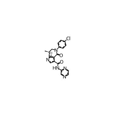 C[C@H]1CN(c2ccc(Cl)cc2)C(=O)c2c(C(=O)Nc3cnccn3)cnn21